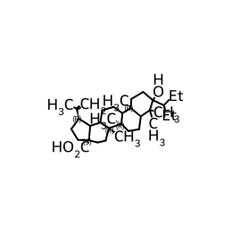 C=C(C)[C@@H]1CC[C@]2(C(=O)O)CC[C@]3(C)C(CCC4[C@@]5(C)CCC(O)(C(CC)CC)C(C)(C)C5CC[C@]43C)C12